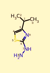 CC(C)c1csc(NN)n1